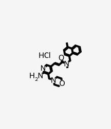 Cc1ccc(CN(C)C(=O)C=Cc2cnc(N)c(CN3CCOCC3)c2)c2ccccc12.Cl